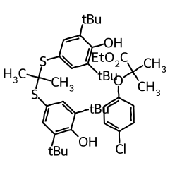 CC(C)(Sc1cc(C(C)(C)C)c(O)c(C(C)(C)C)c1)Sc1cc(C(C)(C)C)c(O)c(C(C)(C)C)c1.CCOC(=O)C(C)(C)Oc1ccc(Cl)cc1